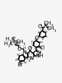 CN(C)C(=O)c1cccc(Oc2ccc(-c3n[nH]c(N)c3C(=O)c3cc4cc(Br)ccc4n3COCC[Si](C)(C)C)c(Cl)c2)c1